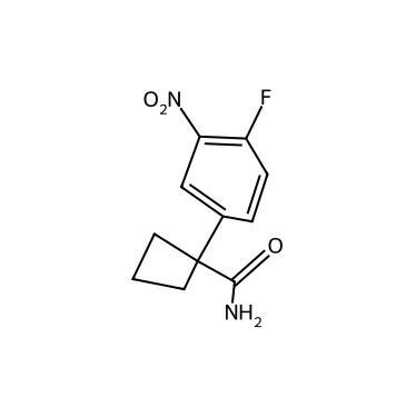 NC(=O)C1(c2ccc(F)c([N+](=O)[O-])c2)CCC1